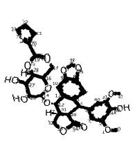 COc1cc(C2c3cc4c(cc3[C@@H](O[C@@H]3OC5COC(c6cccs6)O[C@H]5C(O)C3O)[C@H]3COC(=O)C23)OCO4)cc(OC)c1O